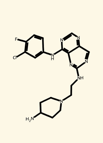 NC1CCN(CCNc2ncc3ncnc(Nc4ccc(F)c(Cl)c4)c3n2)CC1